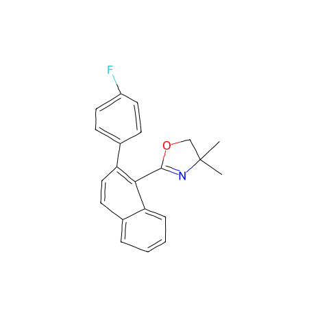 CC1(C)COC(c2c(-c3ccc(F)cc3)ccc3ccccc23)=N1